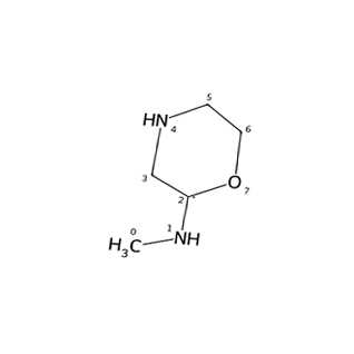 CN[C]1CNCCO1